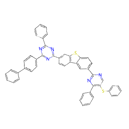 c1ccc(Sc2cnc(-c3ccc4sc5cc(-c6nc(-c7ccccc7)nc(-c7ccc(-c8ccccc8)cc7)n6)ccc5c4c3)nc2-c2ccccc2)cc1